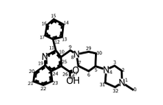 CN1CCN(C2CCN(Cc3c(-c4ccccc4)nc4ccccc4c3C(=O)O)CC2)CC1